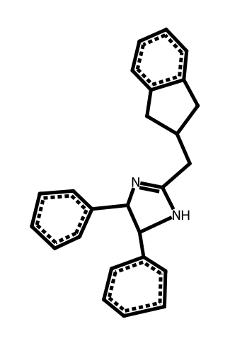 c1ccc(C2N=C(CC3Cc4ccccc4C3)NC2c2ccccc2)cc1